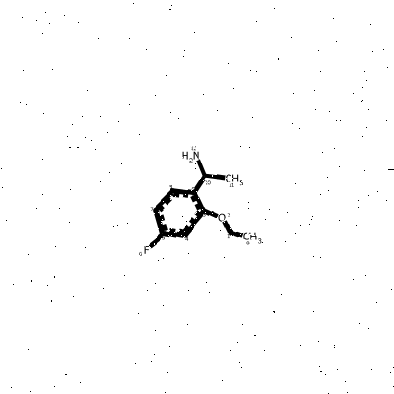 CCOc1cc(F)ccc1C(C)N